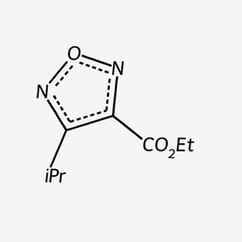 CCOC(=O)c1nonc1C(C)C